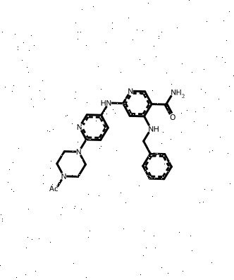 CC(=O)N1CCN(c2ccc(Nc3cc(NCc4ccccc4)c(C(N)=O)cn3)cn2)CC1